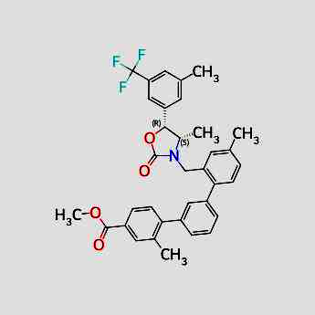 COC(=O)c1ccc(-c2cccc(-c3ccc(C)cc3CN3C(=O)O[C@H](c4cc(C)cc(C(F)(F)F)c4)[C@@H]3C)c2)c(C)c1